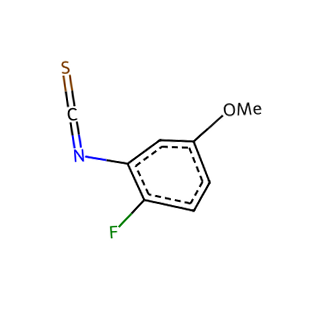 COc1ccc(F)c(N=C=S)c1